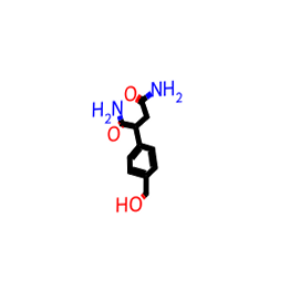 NC(=O)CC(C(N)=O)c1ccc(CO)cc1